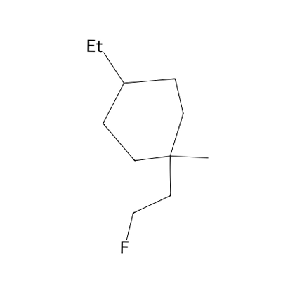 CCC1CCC(C)(CCF)CC1